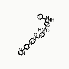 O=C(N[C@@H]1CCN(CC(=O)N2CCN(c3ccc(-c4ncccn4)cc3)CC2)C1)c1cc2c(-c3cccnc3)n[nH]c2s1